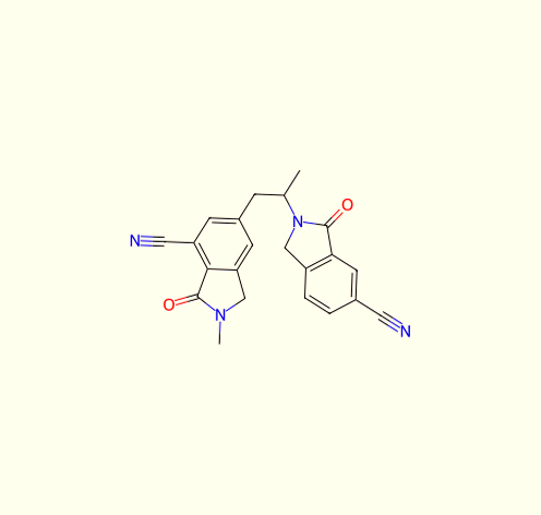 CC(Cc1cc(C#N)c2c(c1)CN(C)C2=O)N1Cc2ccc(C#N)cc2C1=O